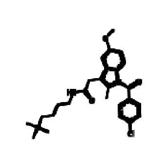 COc1ccc2c(c1)c(CC(=O)NCCCC[Si](C)(C)C)c(C)n2C(=O)c1ccc(Cl)cc1